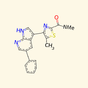 CNC(=O)c1nc(-c2c[nH]c3ncc(-c4ccccc4)cc23)c(C)s1